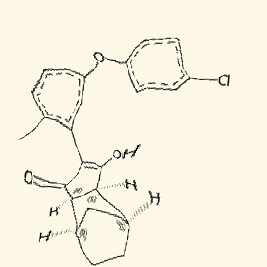 Cc1ccc(Oc2ccc(Cl)cc2)cc1C1=C(O)[C@H]2[C@H]3CC[C@H](C3)[C@H]2C1=O